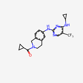 O=C(C1CC1)N1CCc2cc(Nc3ncc(C(F)(F)F)c(NC4CC4)n3)ccc2C1